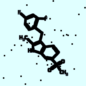 Cc1[nH]c2cc(S(C)(=O)=O)ccc2c1Cc1ccc(F)cc1F